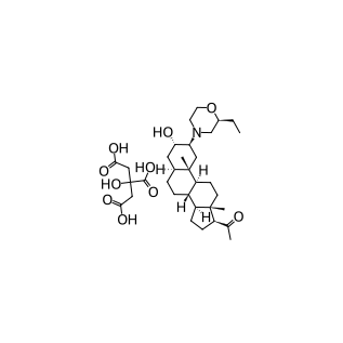 CC[C@H]1CN([C@H]2C[C@@]3(C)[C@@H](CC[C@@H]4[C@@H]3CC[C@]3(C)[C@@H](C(C)=O)CC[C@@H]43)C[C@@H]2O)CCO1.O=C(O)CC(O)(CC(=O)O)C(=O)O